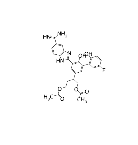 CC(=O)OCCC(COC(C)=O)c1cc(-c2nc3cc(C(=N)N)ccc3[nH]2)c(O)c(-c2cc(F)ccc2O)c1